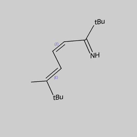 C/C(=C\C=C/C(=N)C(C)(C)C)C(C)(C)C